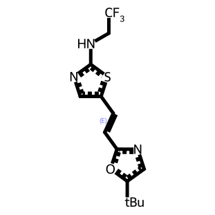 CC(C)(C)c1cnc(/C=C/c2cnc(NCC(F)(F)F)s2)o1